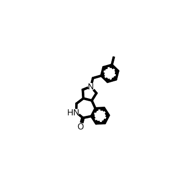 Cc1cccc(CN2CC3CNC(=O)c4ccccc4C3C2)c1